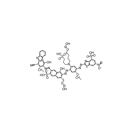 COc1cc(N=Nc2c(SOOO)cc3cc(S(=O)(=O)O)c(N=Nc4c(C)c(C#N)c5nc6ccccc6n5c4O)cc3c2O)c(N(CCCSOOO)CCCS(=O)(=O)O)cc1N=Nc1nc2c(S(=O)(=O)O)cc([N+](=O)[O-])cc2s1